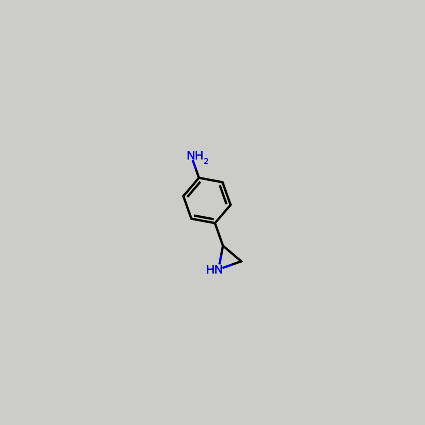 Nc1ccc(C2CN2)cc1